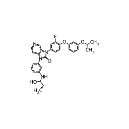 C=CC(O)Nc1cccc(-n2c(=O)n(-c3ccc(Oc4cccc(OC(C)C)c4)c(F)c3)c3cnccc32)c1